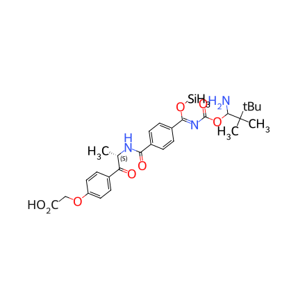 C[C@H](NC(=O)c1ccc(C(=NC(=O)OC(N)C(C)(C)C(C)(C)C)O[SiH3])cc1)C(=O)c1ccc(OCC(=O)O)cc1